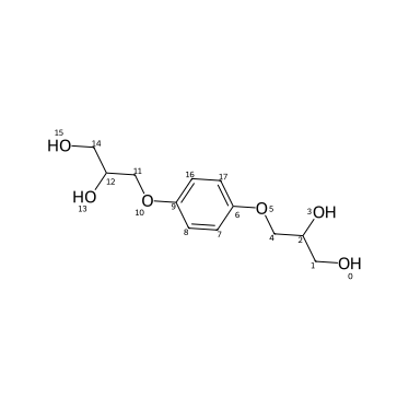 OCC(O)COc1ccc(OCC(O)CO)cc1